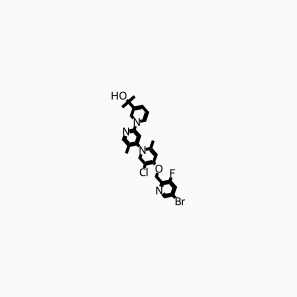 CC1=CC(OCc2ncc(Br)cc2F)=C(Cl)CN1c1cc(N2C=CC=C(C(C)(C)O)C2)ncc1C